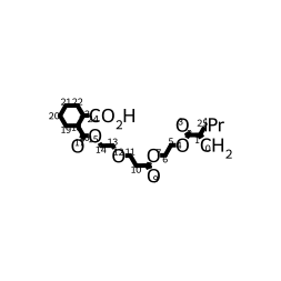 C=C(C(=O)OCCOC(=O)CCOCCOC(=O)C1CCCCC1C(=O)O)C(C)C